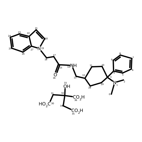 CN(C)C1(c2ccccc2)CCC(CNC(=O)CCn2ccc3ccccc32)CC1.O=C(O)CC(O)(CC(=O)O)C(=O)O